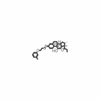 CCC(=O)[C@@]1(C)[C@@H](C)C[C@H]2[C@@H]3CCC4=C/C(=N/OCCOc5cccc(C)c5)C=C[C@]4(C)[C@@]3(Cl)[C@@H](O)C[C@@]21C